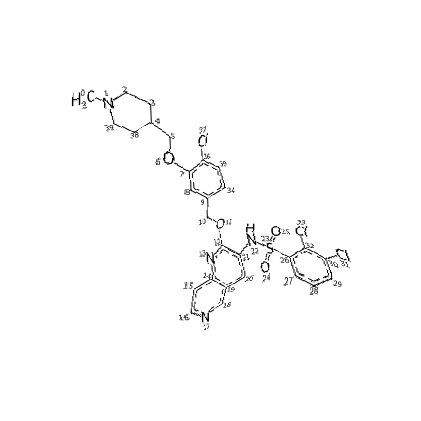 CN1CCC(COc2cc(COc3nc4ccncc4cc3NS(=O)(=O)c3cccc(Cl)c3Cl)ccc2Cl)CC1